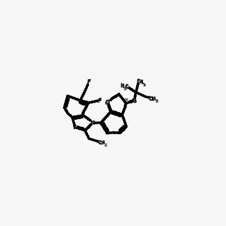 CCc1nc2ccc(F)c(F)c2n1-c1cccc2c1OC[C@H]2OC(C)(C)C